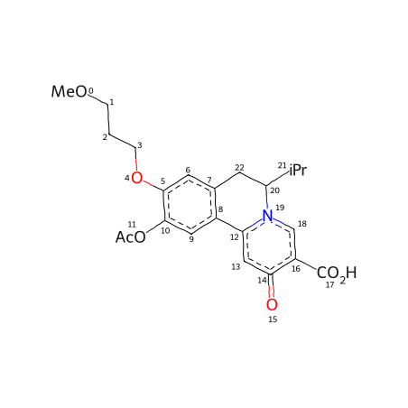 COCCCOc1cc2c(cc1OC(C)=O)-c1cc(=O)c(C(=O)O)cn1C(C(C)C)C2